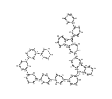 C1=CC(c2cccc(-c3cccc(-c4cccc(-c5ccc(-c6ccc(-c7cccc(-n8c9ccccc9c9cc(-c%10ccc%11c(c%10)c%10ccccc%10n%11-c%10cccc(-c%11ccccc%11)c%10)ccc98)c7)cc6)cc5)c4)c3)c2)=CCC1